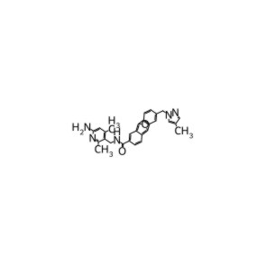 Cc1cnn(Cc2ccc3c(c2)c2oc3c3cc(C(=O)NCc4c(C)cc(N)nc4C)ccc32)c1